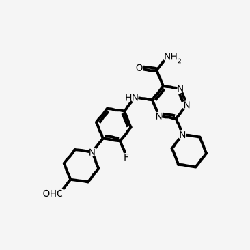 NC(=O)c1nnc(N2CCCCC2)nc1Nc1ccc(N2CCC(C=O)CC2)c(F)c1